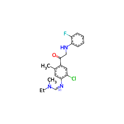 CCN(C)/C=N\c1cc(C)c(C(=O)CNc2ccccc2F)cc1Cl